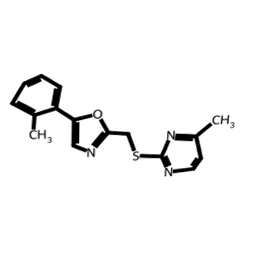 Cc1ccnc(SCc2ncc(-c3ccccc3C)o2)n1